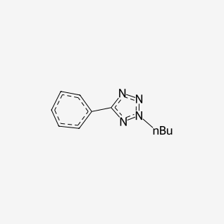 CCCCn1nnc(-c2ccccc2)n1